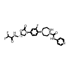 O=C(NC[C@H]1CN(c2ccc(N3CCNN(C(=O)Nc4ccncc4)CC3)c(F)c2)C(=O)O1)C(F)F